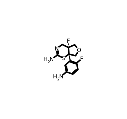 NC1=NC[C@@]2(F)COC[C@]2(c2cc(N)ccc2F)S1